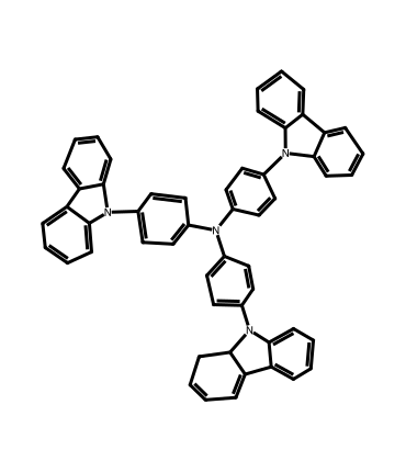 C1=CCC2C(=C1)c1ccccc1N2c1ccc(N(c2ccc(-n3c4ccccc4c4ccccc43)cc2)c2ccc(-n3c4ccccc4c4ccccc43)cc2)cc1